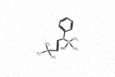 CC(C)(C)[Si](C)(C)N(C=C[Si](C)(C)C)c1ccccc1